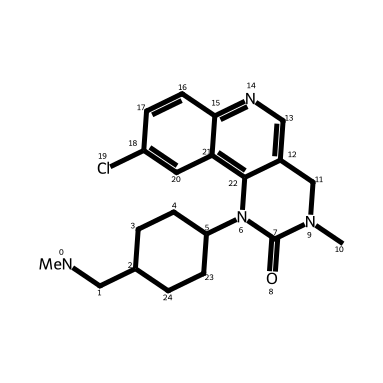 CNCC1CCC(N2C(=O)N(C)Cc3cnc4ccc(Cl)cc4c32)CC1